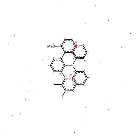 COc1cccc(OC)c1-c1cccc(-c2cccc(C)c2C)c1P(c1ccccc1)c1ccccc1